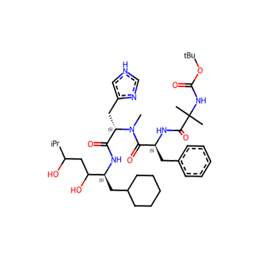 CC(C)C(O)CC(O)[C@H](CC1CCCCC1)NC(=O)[C@H](Cc1c[nH]cn1)N(C)C(=O)[C@H](Cc1ccccc1)NC(=O)C(C)(C)NC(=O)OC(C)(C)C